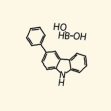 OBO.c1ccc(-c2ccc3[nH]c4ccccc4c3c2)cc1